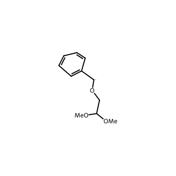 COC(CO[CH]c1ccccc1)OC